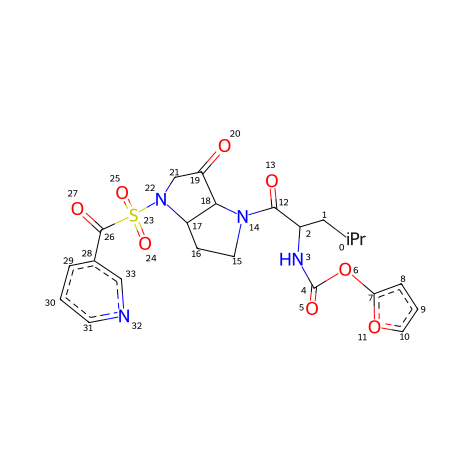 CC(C)CC(NC(=O)Oc1ccco1)C(=O)N1CCC2C1C(=O)CN2S(=O)(=O)C(=O)c1cccnc1